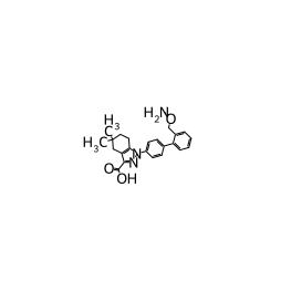 CC1(C)CCc2c(c(C(=O)O)nn2-c2ccc(-c3ccccc3CON)cc2)C1